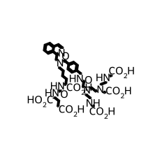 O=C(O)CC[C@@H](NC(=O)NC(CCCCN(Cc1nccc2ccccc12)C(=O)c1ccc(CNC(=O)CN(CCNCC(=O)O)CCN(CCNCC(=O)O)CC(=O)O)cc1)C(=O)O)C(=O)O